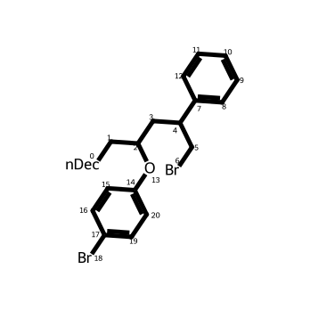 CCCCCCCCCCCC(CC(CBr)c1ccccc1)Oc1ccc(Br)cc1